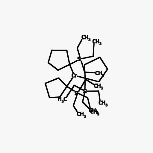 CC[Si](CC)(CC)[C]1([Cr]([C]2([Si](CC)(CC)CC)CCCC2)[C]2([Si](CC)(CC)CC)CCCC2)CCCC1